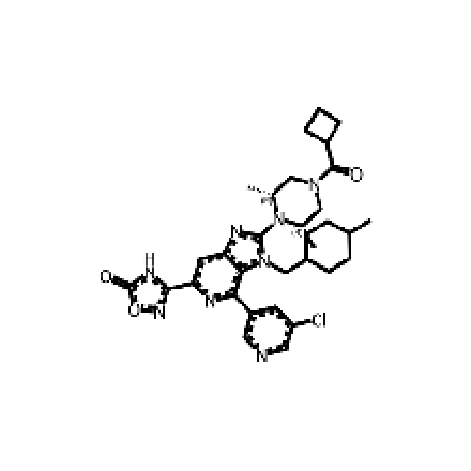 CC1CCC(Cn2c(N3[C@H](C)CN(C(=O)C4CCC4)C[C@H]3C)nc3cc(-c4noc(=O)[nH]4)nc(-c4cncc(Cl)c4)c32)CC1